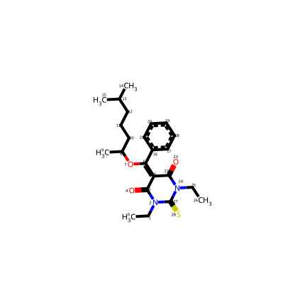 CCN1C(=O)C(=C(OC(C)CCCC(C)C)c2ccccc2)C(=O)N(CC)C1=S